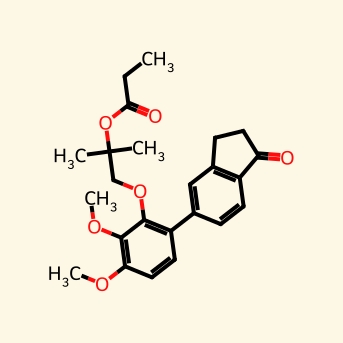 CCC(=O)OC(C)(C)COc1c(-c2ccc3c(c2)CCC3=O)ccc(OC)c1OC